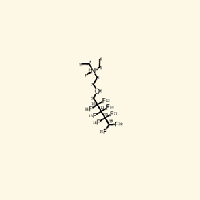 CC[N+](C)(CC)CCOCC(F)(F)C(F)(F)C(F)(F)C(F)F